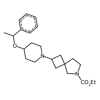 CCOC(=O)N1CCC2(CC(N3CCC(OC(C)c4ccccc4)CC3)C2)C1